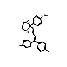 COc1ccc(C2(C=CC=C(c3ccc(C)cc3)c3ccc(C)cc3)SCCCS2)cc1